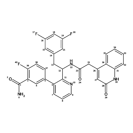 NC(=O)c1cc(-c2cccnc2C(Cc2cc(F)cc(F)c2)NC(=O)Cc2cc(=O)[nH]c3ccccc23)ccc1F